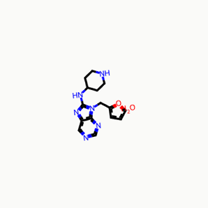 O.c1coc(Cn2c(NC3CCNCC3)nc3cncnc32)c1